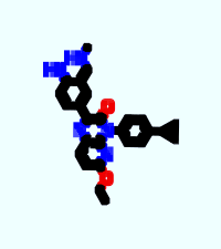 CCOc1ccc2nc(C3=C/C(=C/NC)C(=N)C=C3)c(=O)n(-c3ccc(C4CC4)cc3)c2n1